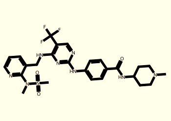 CN1CCC(NC(=O)c2ccc(Nc3ncc(C(F)(F)F)c(NCc4cccnc4N(C)S(C)(=O)=O)n3)cc2)CC1